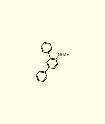 CC(=O)Nc1ccc(-c2ccccc2)cc1-c1ccccc1